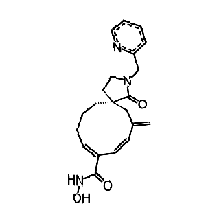 C=C1/C=C\C(C(=O)NO)=C/CCC[C@@]2(CCN(Cc3ccccn3)C2=O)C1